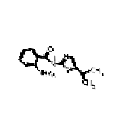 C=C(C)c1cnc(NC(=O)c2ccccc2NC(C)=O)s1